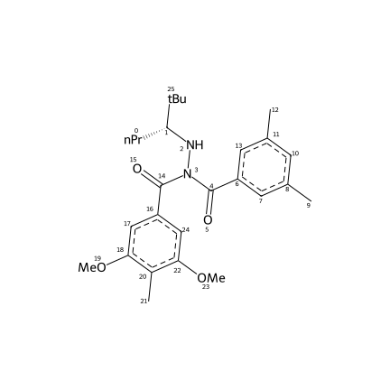 CCC[C@@H](NN(C(=O)c1cc(C)cc(C)c1)C(=O)c1cc(OC)c(C)c(OC)c1)C(C)(C)C